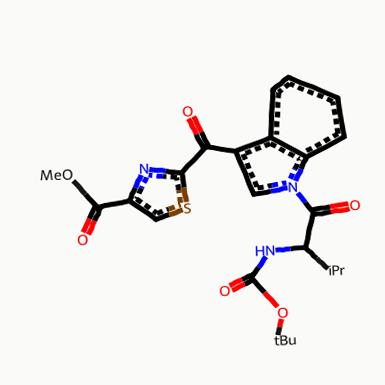 COC(=O)c1csc(C(=O)c2cn(C(=O)C(NC(=O)OC(C)(C)C)C(C)C)c3ccccc23)n1